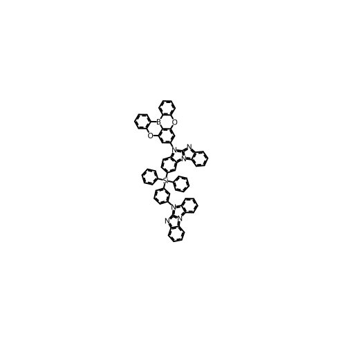 c1ccc([Si](c2ccccc2)(c2cccc(-n3c4ccccc4n4c5ccccc5nc34)c2)c2ccc3c(c2)n2c4ccccc4nc2n3-c2cc3c4c(c2)Oc2ccccc2B4c2ccccc2O3)cc1